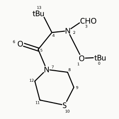 CC(C)(C)ON(C=O)C(C(=O)N1CCSCC1)C(C)(C)C